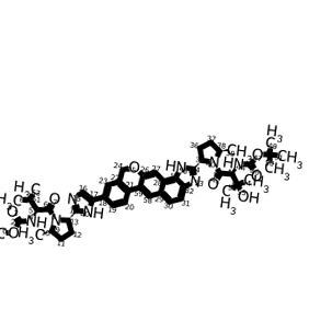 COC(=O)N[C@H](C(=O)N1[C@@H](C)CC[C@H]1c1ncc(-c2ccc3c(c2)COc2cc4c(ccc5nc([C@@H]6CC[C@H](C)N6C(=O)[C@@H](NC(=O)OC(C)(C)C)C(C)(C)O)[nH]c54)cc2-3)[nH]1)C(C)C